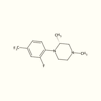 C[C@@H]1CN(C)CCN1c1ccc(C(F)(F)F)cc1F